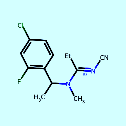 CC/C(=N\C#N)N(C)C(C)c1ccc(Cl)cc1F